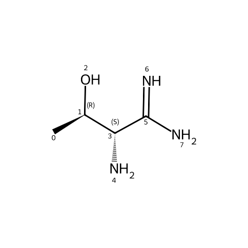 C[C@@H](O)[C@@H](N)C(=N)N